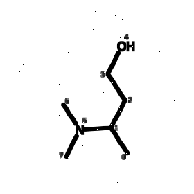 CC(CCO)N(C)C